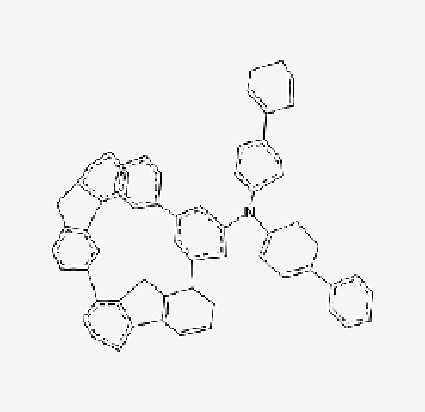 C1=CC(c2ccc(N(C3=CC=C(c4ccccc4)CC3)c3cc(-c4ccccc4)cc(C4CC=CC5=C4Cc4c5cccc4-c4ccc5c(c4)-c4ccccc4C5)c3)cc2)=CCC1